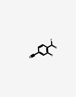 N#Cc1ccc(C(F)F)c(F)c1